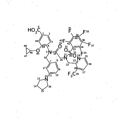 O=C(O)c1ccc(N(Cc2cccc(N3CCCC3)c2)C(=O)CN(Cc2ncccc2C(F)(F)F)S(=O)(=O)c2c(F)c(F)c(F)c(F)c2F)c(OC2CC2)c1